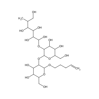 C=CCCCOC1OC(CO)C(O)C(O)C1OC1OC(CO)C(O)C(O)C1OC(O)C(O)C(O)C(O)C(C)CO